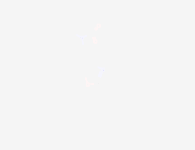 O=S1(=O)CCCN1c1ccc2oc(/C(F)=C/c3ccccc3)nc2c1